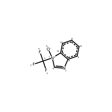 [O-][N+]1(C(F)(F)F)C=Nc2ccccc21